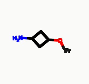 CC(C)OC1CC(N)C1